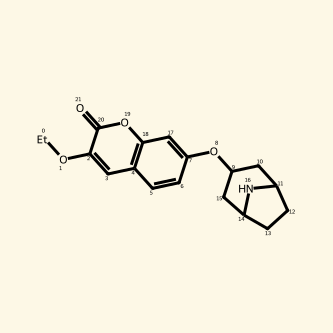 CCOc1cc2ccc(OC3CC4CCC(C3)N4)cc2oc1=O